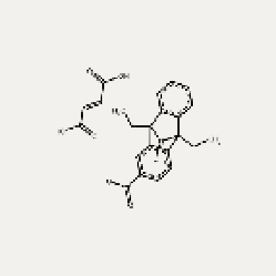 CCC12c3ccccc3C(CC)(c3cc([N+](=O)[O-])ccc31)N2C.O=C(O)/C=C/C(=O)O